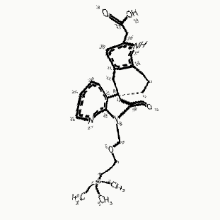 C[Si](C)(C)CCOCN1C(=O)[C@@]2(CCc3[nH]c(C(=O)O)cc3C2)c2cccnc21